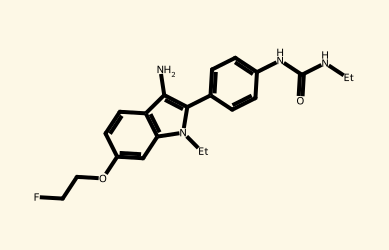 CCNC(=O)Nc1ccc(-c2c(N)c3ccc(OCCF)cc3n2CC)cc1